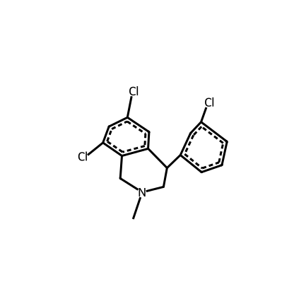 CN1Cc2c(Cl)cc(Cl)cc2C(c2cccc(Cl)c2)C1